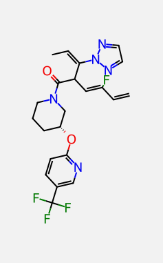 C=CC(F)=CC(C(=O)N1CCC[C@@H](Oc2ccc(C(F)(F)F)cn2)C1)/C(=C\C)n1nccn1